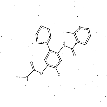 CC(C)(C)NC(=O)Oc1cc(-c2ccccc2)c(NC(=O)c2cccnc2Cl)cc1Cl